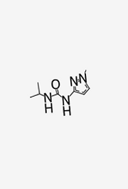 CC(C)NC(=O)Nc1ccn(C)n1